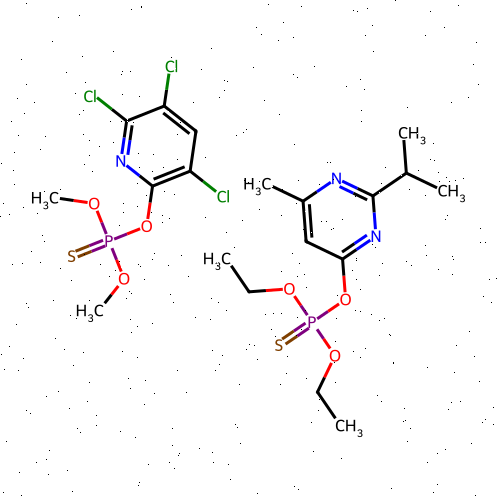 CCOP(=S)(OCC)Oc1cc(C)nc(C(C)C)n1.COP(=S)(OC)Oc1nc(Cl)c(Cl)cc1Cl